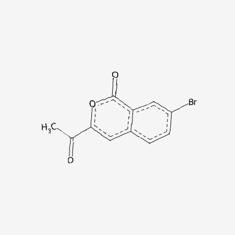 CC(=O)c1cc2ccc(Br)cc2c(=O)o1